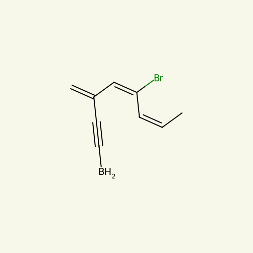 BC#CC(=C)/C=C(Br)\C=C/C